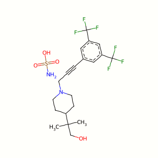 CC(C)(CO)C1CCN(CC#Cc2cc(C(F)(F)F)cc(C(F)(F)F)c2)CC1.NS(=O)(=O)O